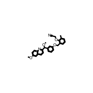 COc1ccc2nc(C(OC)c3cccc(OCc4cccc(C)c4OCC#N)c3)ccc2c1